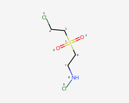 O=S(=O)(CCCl)CCNCl